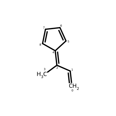 C=CC(C)=C1C=CC=C1